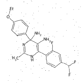 CCOc1ccc(C2(N)N=C(C)NC(c3ccc(C(F)F)cc3F)=C2N)cc1